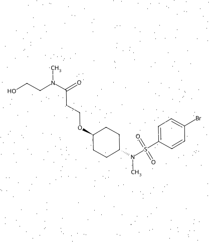 CN(CCO)C(=O)CCO[C@H]1CC[C@H](N(C)S(=O)(=O)c2ccc(Br)cc2)CC1